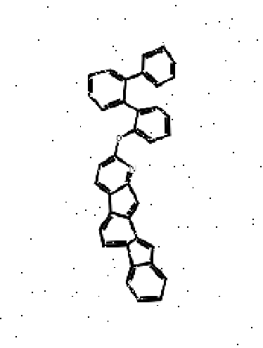 C1=c2c(ccc3c2=Cc2nc(Oc4ccccc4-c4ccccc4-c4ccccc4)ccc2-3)-c2ccccc21